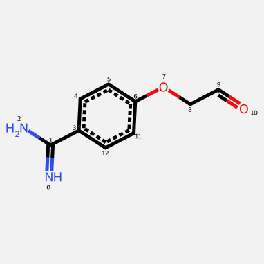 N=C(N)c1ccc(OC[C]=O)cc1